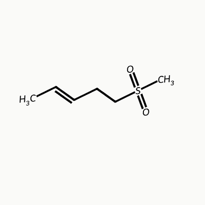 CC=CCCS(C)(=O)=O